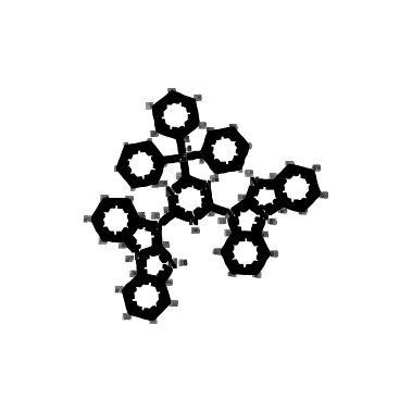 c1ccc([Si](c2ccccc2)(c2ccccc2)c2nc(-n3c4ccccc4n4c5ccccc5nc34)nc(-n3c4ccccc4n4c5ccccc5nc34)n2)cc1